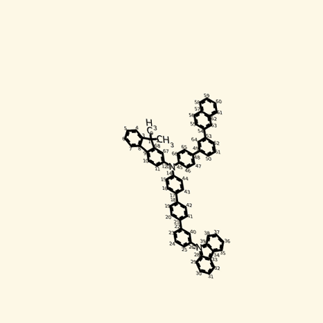 CC1(C)c2ccccc2-c2ccc(N(c3ccc(-c4ccc(-c5cccc(-n6c7ccccc7c7ccccc76)c5)cc4)cc3)c3ccc(-c4cccc(-c5ccc6ccccc6c5)c4)cc3)cc21